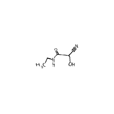 CCNC(=O)C(O)C#N